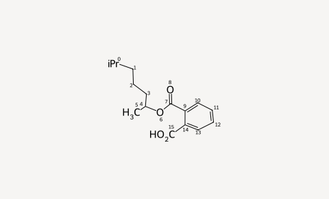 CC(C)CCCC(C)OC(=O)c1ccccc1C(=O)O